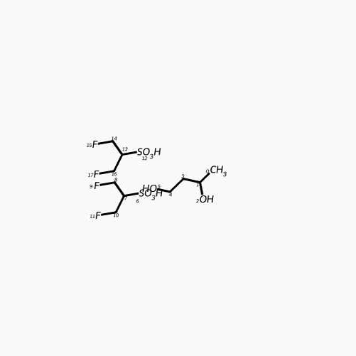 CC(O)CCO.O=S(=O)(O)C(CF)CF.O=S(=O)(O)C(CF)CF